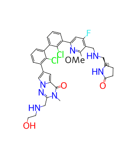 COc1nc(-c2cccc(-c3cccc(-c4cc5c(=O)n(C)c(CNCCO)nn5c4)c3Cl)c2Cl)cc(F)c1CNC[C@H]1CCC(=O)N1